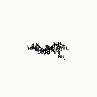 C[C@H](NC(=O)[C@@H](NC(=O)[C@@H](N)CCCCN)C(O)CN)C(=O)NCC(=O)N[C@H](CCCN)C(=O)N1CCC[C@H]1C(=O)N[C@@H](Cc1cccc(C(F)(F)F)c1)C(=O)N[C@@H](CCCCN)C(=O)N/C(=C\CCNC(=N)N)C(=O)O